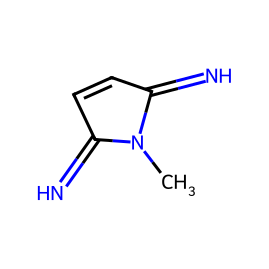 CN1C(=N)C=CC1=N